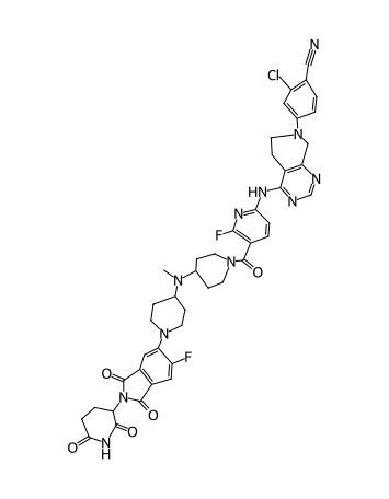 CN(C1CCN(C(=O)c2ccc(Nc3ncnc4c3CCN(c3ccc(C#N)c(Cl)c3)C4)nc2F)CC1)C1CCN(c2cc3c(cc2F)C(=O)N(C2CCC(=O)NC2=O)C3=O)CC1